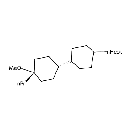 CCCCCCCC1CCC([C@H]2CC[C@@](CCC)(OC)CC2)CC1